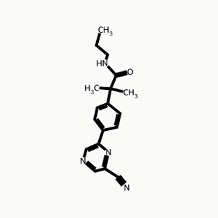 CCCNC(=O)C(C)(C)c1ccc(-c2cncc(C#N)n2)cc1